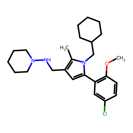 COc1ccc(Cl)cc1-c1cc(CNN2CCCCC2)c(C)n1CC1CCCCC1